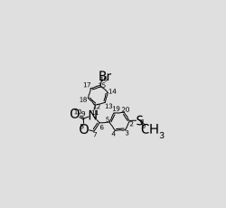 CSc1ccc(-c2coc(=O)n2-c2ccc(Br)cc2)cc1